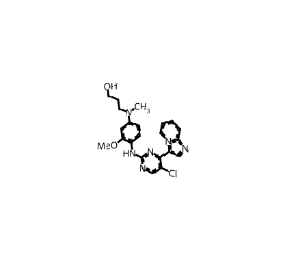 COc1cc(N(C)CCCO)ccc1Nc1ncc(Cl)c(-c2cnc3ccccn23)n1